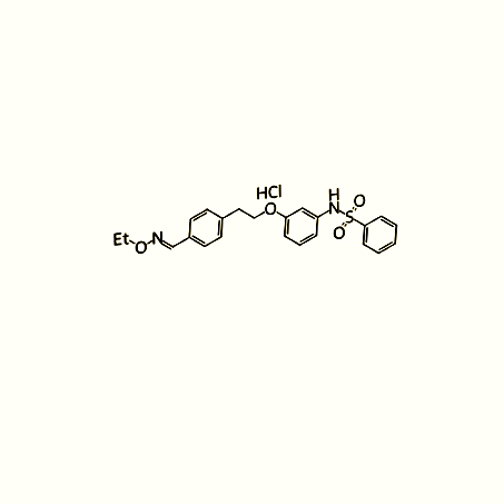 CCON=Cc1ccc(CCOc2cccc(NS(=O)(=O)c3ccccc3)c2)cc1.Cl